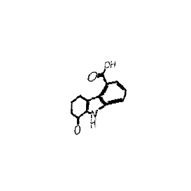 O=C1CCCc2c1[nH]c1cccc(C(=O)O)c21